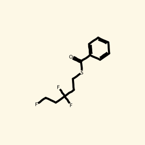 O=C(SCCC(F)(F)CCF)c1ccccc1